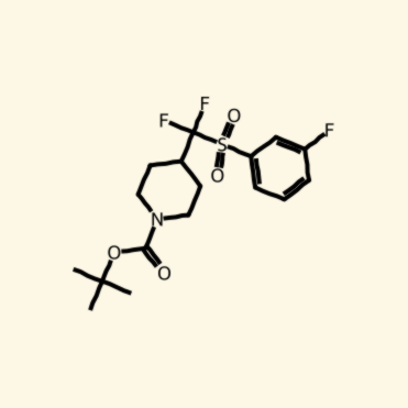 CC(C)(C)OC(=O)N1CCC(C(F)(F)S(=O)(=O)c2cccc(F)c2)CC1